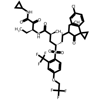 CCC(CC[C@@H](C[C@H](C)C(=O)N[C@@H](CC)C(=O)C(=O)NC1CC1)S(=O)(=O)c1ccc(OCC(F)(F)F)cc1C(F)(F)F)C(=O)C1(c2ccc(Cl)cc2)CC1